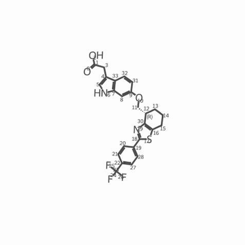 O=C(O)Cc1c[nH]c2cc(OC[C@@H]3CCCc4sc(-c5ccc(C(F)(F)F)cc5)nc43)ccc12